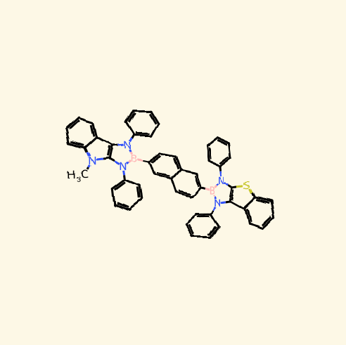 Cn1c2c(c3ccccc31)N(c1ccccc1)B(c1ccc3cc(B4N(c5ccccc5)c5sc6ccccc6c5N4c4ccccc4)ccc3c1)N2c1ccccc1